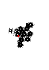 C[Si]1(C)c2cccc3c2B2c4c(cc(N(c5ccccc5)c5ccccc5)cc4N(c4ccc5c(c4)sc4ccccc45)c4cccc1c42)N3c1ccc2c(c1)sc1ccccc12